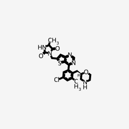 Cc1cc(Cl)cc(-c2ncnc3cc(CN4C(=O)NC(C)C4=O)sc23)c1C[C@@H]1CNCCO1